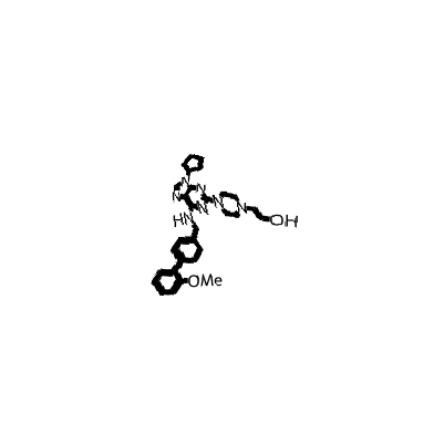 COc1ccccc1-c1ccc(CNc2nc(N3CCN(CCO)CC3)nc3c2ncn3C2CCCC2)cc1